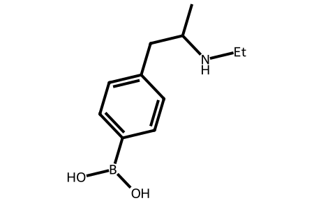 CCNC(C)Cc1ccc(B(O)O)cc1